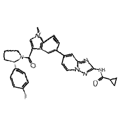 Cn1cc(C(=O)N2CCC[C@H]2c2ccc(F)cc2)c2cc(-c3ccn4nc(NC(=O)C5CC5)nc4c3)ccc21